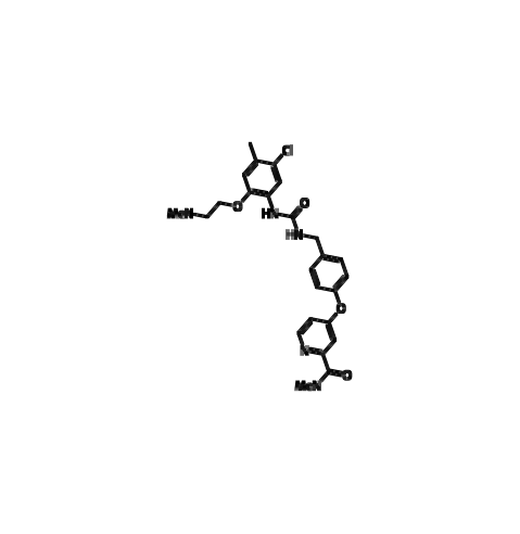 CNCCOc1cc(C)c(Cl)cc1NC(=O)NCc1ccc(Oc2ccnc(C(=O)NC)c2)cc1